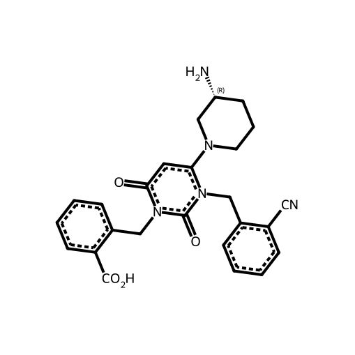 N#Cc1ccccc1Cn1c(N2CCC[C@@H](N)C2)cc(=O)n(Cc2ccccc2C(=O)O)c1=O